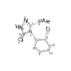 CSc1n[nH]c(=O)n1-c1ccccc1Cl